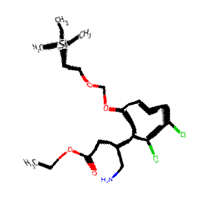 CCOC(=O)CC(CN)c1c(OCOCC[Si](C)(C)C)ccc(Cl)c1Cl